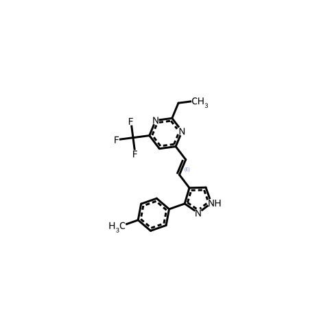 CCc1nc(/C=C/c2c[nH]nc2-c2ccc(C)cc2)cc(C(F)(F)F)n1